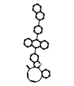 C=C1/C=C\C=C/Cc2ccccc2-c2oc3cc(-c4c5ccccc5c(-c5ccc(-c6ccc7ccccc7c6)cc5)c5ccccc45)ccc3c21